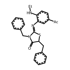 CCNc1ccc(C(C)=O)cc1N=C1SC(Cc2ccccc2)C(=O)N1Cc1ccccc1